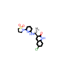 C[C@H](Nc1cccc(N2CCCS2(=O)=O)n1)c1cc2cc(Cl)ccc2[nH]c1=O